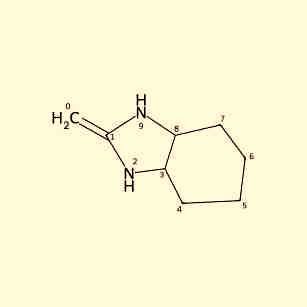 C=C1NC2CCCCC2N1